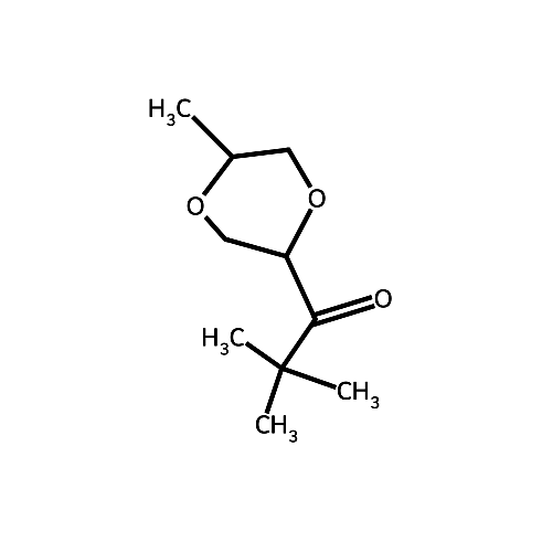 CC1COC(C(=O)C(C)(C)C)CO1